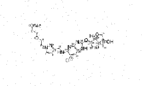 COCCOCCn1ccc(CNc2nc3nc(O[C@@H]4CO[C@]5(I)[C@H](O)CO[C@H]45)[nH]c3cc2Cl)n1